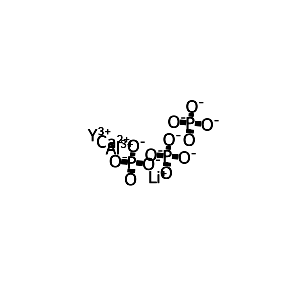 O=P([O-])([O-])[O-].O=P([O-])([O-])[O-].O=P([O-])([O-])[O-].[Al+3].[Ca+2].[Li+].[Y+3]